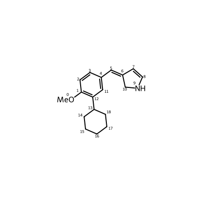 COc1ccc(C=C2C=CNC2)cc1C1CCCCC1